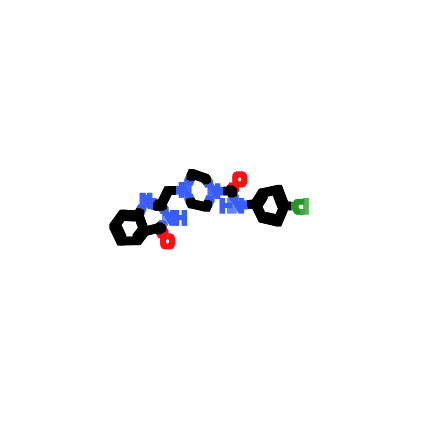 O=C(Nc1ccc(Cl)cc1)N1CCN(Cc2nc3ccccc3c(=O)[nH]2)CC1